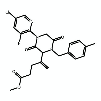 C=C(CCC(=O)OC)C1C(=O)N(c2ncc(Cl)cc2F)CC(=O)N1Cc1ccc(C)cc1